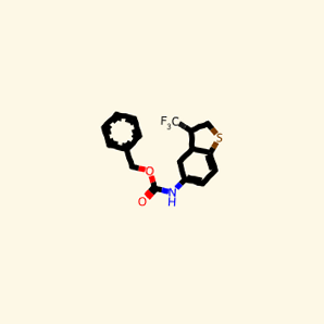 O=C(NC1=CC=C2SCC(C(F)(F)F)C2C1)OCc1ccccc1